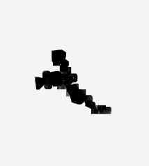 CNCCOc1ccc2nc(NC(=O)/C(=N/OCc3ccccn3)c3ccc(S(=O)(=O)C4CC4)cc3)sc2n1